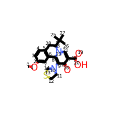 COc1ccc2c(c1)-c1c(N3CCSC3)c(=O)c(C(=O)O)cn1C(C(C)(C)C)C2